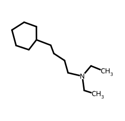 CCN(CC)CCCCC1CCCCC1